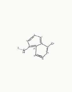 CNc1cccc2c(Cl)cccc12